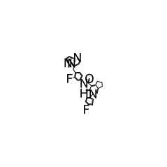 C=C1C(C(=O)Nc2ccc(Cc3ccnc4ccnn34)c(F)c2)=C2CCCC2=CN1c1ccc(F)cc1